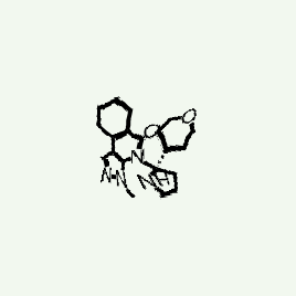 Cn1ncc2c3c(c(=O)n([C@@]4(C5CCOCC5)CCCN4)c21)CCCC3